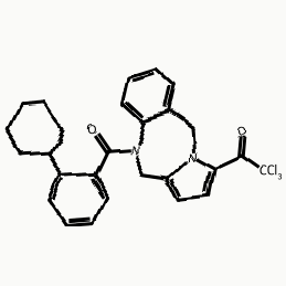 O=C(c1ccccc1C1CCCCC1)N1Cc2ccc(C(=O)C(Cl)(Cl)Cl)n2Cc2ccccc21